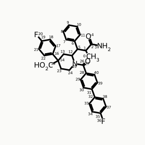 CC(C(N)=O)C(c1ccccc1)C1CC(C(=O)O)(c2ccc(F)cc2)CCN1C(=O)c1ccc(-c2ccc(F)cc2)cc1